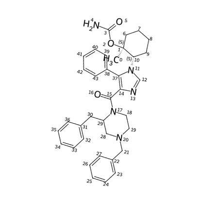 C[C@]1(OC(N)=O)CCCC[C@@H]1n1cnc(C(=O)N2CCN(Cc3ccccc3)CC2Cc2ccccc2)c1-c1ccccc1